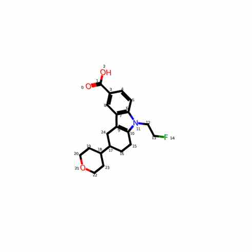 O=C(O)c1ccc2c(c1)c1c(n2CCF)CCC(C2CCOCC2)C1